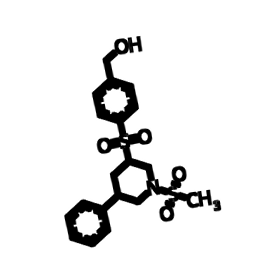 CS(=O)(=O)N1CC(c2ccccc2)CC(S(=O)(=O)c2ccc(CO)cc2)C1